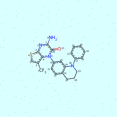 Nc1nc2scc(C(F)(F)F)c2n(-c2ccc3c(c2)N(c2ccccc2)CCC3)c1=O